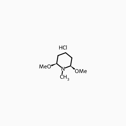 CO[C@H]1CCC[C@@H](OC)N1C.Cl